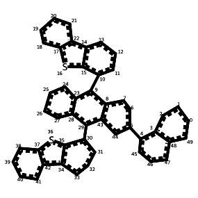 c1ccc2c(-c3ccc4c(-c5cccc6c5sc5ccccc56)c5ccccc5c(-c5cccc6c5sc5ccccc56)c4c3)cccc2c1